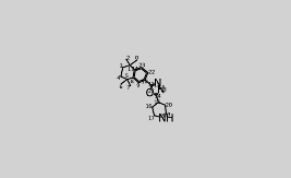 CC1(C)CCC(C)(C)c2cc(-c3nnc(C4CCNCC4)o3)ccc21